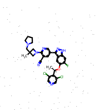 C[C@@H](Oc1cc2c(-c3cnc(N4CC(C)(CN5CCCC5)C4)c(C#N)c3)n[nH]c2cc1F)c1c(Cl)cncc1Cl